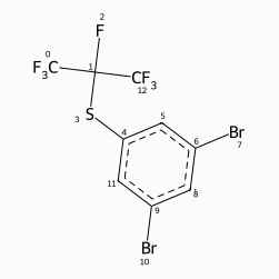 FC(F)(F)C(F)(Sc1cc(Br)[c]c(Br)c1)C(F)(F)F